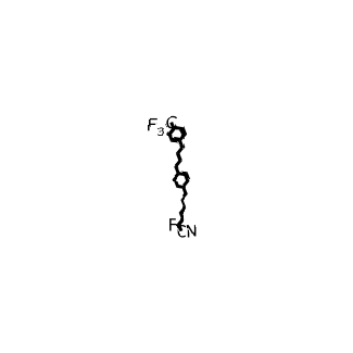 N#CC(F)=CC=CCCC1CCC(CCCCc2ccc(C(F)(F)F)cc2)CC1